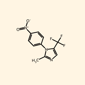 Cc1ncc(C(F)(F)F)n1-c1ccc([N+](=O)[O-])cc1